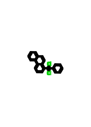 Cl[Si](Cl)(c1ccccc1)c1cccc2c1ccc1ccccc12